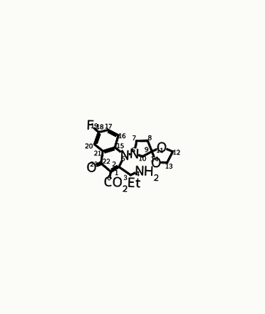 CCOC(=O)c1c(CN)n(N2CCC3(C2)OCCO3)c2ccc(F)cc2c1=O